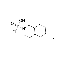 O=P(O)(Cl)N1CCC2CCCCC2C1